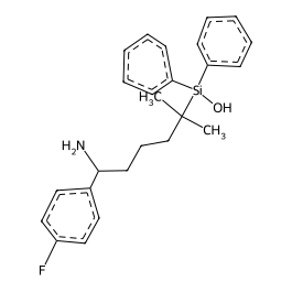 CC(C)(CCCC(N)c1ccc(F)cc1)[Si](O)(c1ccccc1)c1ccccc1